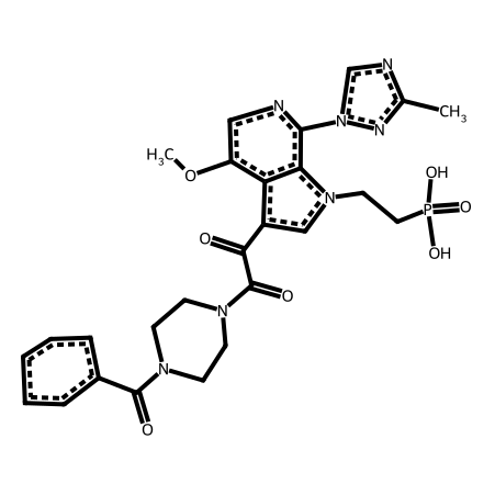 COc1cnc(-n2cnc(C)n2)c2c1c(C(=O)C(=O)N1CCN(C(=O)c3ccccc3)CC1)cn2CCP(=O)(O)O